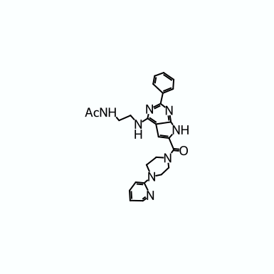 CC(=O)NCCNc1nc(-c2ccccc2)nc2[nH]c(C(=O)N3CCN(c4ccccn4)CC3)cc12